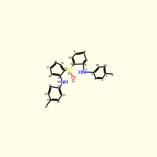 Cc1ccc(Nc2ccccc2[S+]([O-])c2ccccc2Nc2ccc(C)cc2)cc1